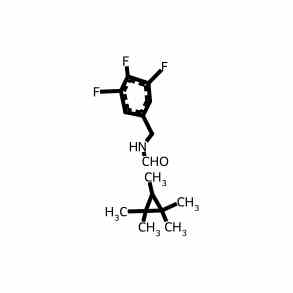 CC1C(C)(C)C1(C)C.O=CNCc1cc(F)c(F)c(F)c1